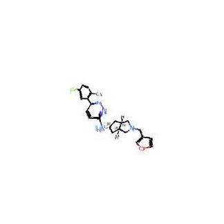 Fc1ccc(Cl)c(-c2ccc(N[C@@H]3C[C@@H]4CN(Cc5ccoc5)C[C@@H]4C3)nn2)c1